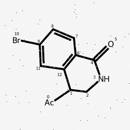 CC(=O)C1CNC(=O)c2ccc(Br)cc21